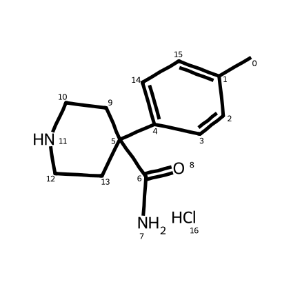 Cc1ccc(C2(C(N)=O)CCNCC2)cc1.Cl